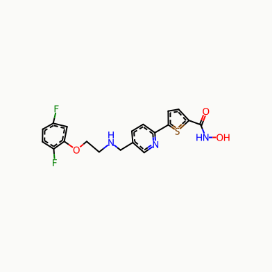 O=C(NO)c1ccc(-c2ccc(CNCCOc3cc(F)ccc3F)cn2)s1